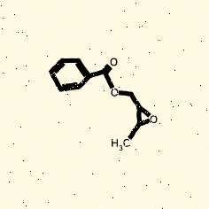 CC1OC1COC(=O)c1ccccc1